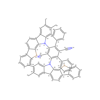 Cc1cc2c3ccc4c5ccccc5sc4c3n(-c3c(C#N)c(-n4c5cc(C)c(C)cc5c5ccc6c7ccccc7sc6c54)c(-c4ccccc4)c(C#N)c3-c3ccccc3)c2cc1C